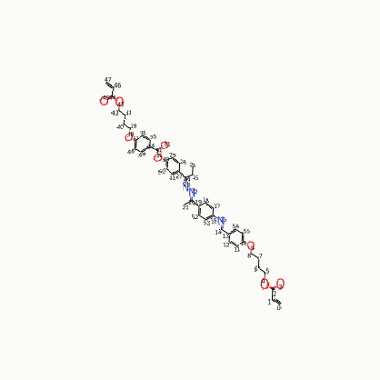 C=CC(=O)OCCCCOc1ccc(/C=N/c2ccc(/C(C)=N/N=C(\CC)c3ccc(OC(=O)c4ccc(OCCCCOC(=O)C=C)cc4)cc3)cc2)cc1